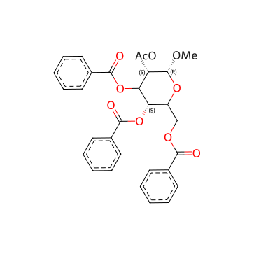 CO[C@@H]1OC(COC(=O)c2ccccc2)[C@H](OC(=O)c2ccccc2)C(OC(=O)c2ccccc2)[C@@H]1OC(C)=O